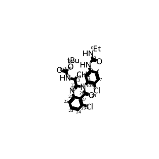 CCNC(=O)Nc1ccc(Cl)c(-n2c(C(C)NC(=O)OC(C)(C)C)nc3cccc(Cl)c3c2=O)c1